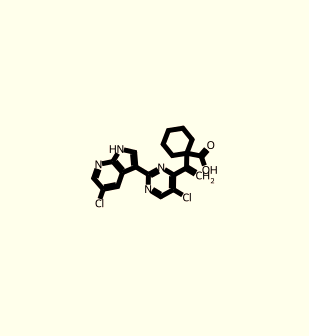 C=C(c1nc(-c2c[nH]c3ncc(Cl)cc23)ncc1Cl)C1(C(=O)O)CCCCC1